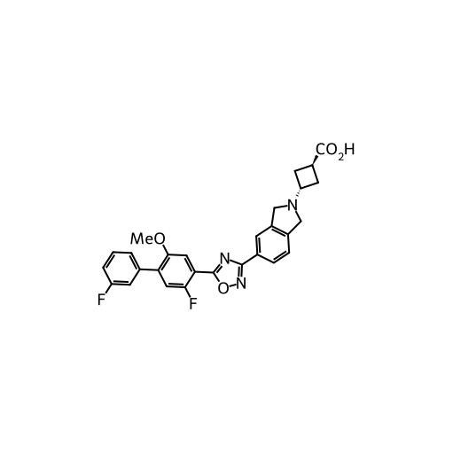 COc1cc(-c2nc(-c3ccc4c(c3)CN([C@H]3C[C@H](C(=O)O)C3)C4)no2)c(F)cc1-c1cccc(F)c1